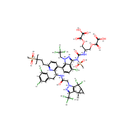 CC(C)(CCc1ccc(-c2ccc(Cl)c3c(N(C(=O)NC(COC(=O)C(=O)O)COC(=O)C(=O)O)S(C)(=O)=O)nn(CC(F)(F)F)c23)c([C@H](Cc2cc(F)cc(F)c2)NC(=O)Cn2nc(C(F)(F)F)c3c2C(F)(F)C2C[C@H]32)n1)S(C)(=O)=O